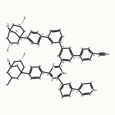 CC1C[C@@H]2C[C@H](C)CC(c3ccc(-c4nc(-c5cccc(-c6ccncc6)c5)nc(-c5cc(-c6ccc(C#N)cc6)cc(-c6cccc(-c7ccc(C89C[C@H](C)C[C@H](C[C@H](C)C8)C9)cc7)c6)c5)n4)cc3)(C1)C2